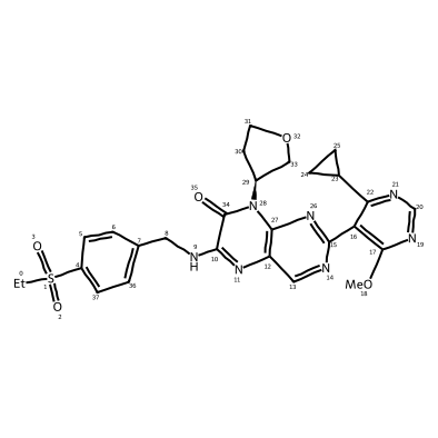 CCS(=O)(=O)c1ccc(CNc2nc3cnc(-c4c(OC)ncnc4C4CC4)nc3n([C@H]3CCOC3)c2=O)cc1